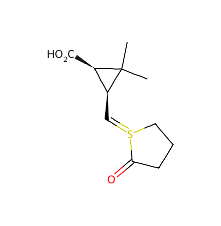 CC1(C)[C@H](C(=O)O)[C@@H]1/C=S1\CCCC1=O